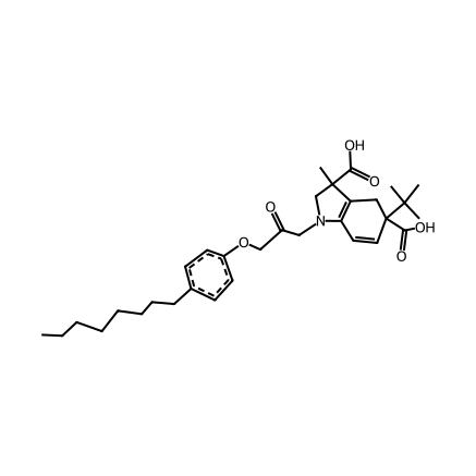 CCCCCCCCc1ccc(OCC(=O)CN2CC(C)(C(=O)O)C3=C2C=CC(C(=O)O)(C(C)(C)C)C3)cc1